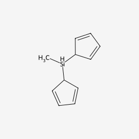 C[SiH](C1C=CC=C1)C1C=CC=C1